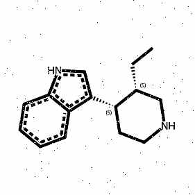 CC[C@@H]1CNCC[C@@H]1c1c[nH]c2ccccc12